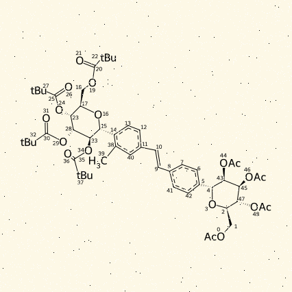 CC(=O)OC[C@H]1O[C@H](c2ccc(C=Cc3ccc([C@H]4O[C@H](COC(=O)C(C)(C)C)[C@@H](OC(=O)C(C)(C)C)[C@@H](OC(=O)C(C)(C)C)[C@@H]4OC(=O)C(C)(C)C)c(C)c3)cc2)[C@@H](OC(C)=O)[C@@H](OC(C)=O)[C@@H]1OC(C)=O